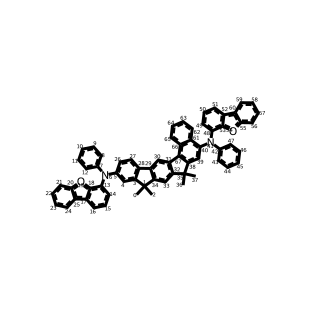 CC1(C)c2cc(N(c3ccccc3)c3cccc4c3oc3ccccc34)ccc2-c2cc3c(cc21)C(C)(C)c1cc(N(c2ccccc2)c2cccc4c2oc2ccccc24)c2ccccc2c1-3